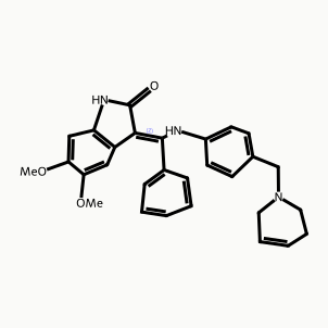 COc1cc2c(cc1OC)/C(=C(/Nc1ccc(CN3CC=CCC3)cc1)c1ccccc1)C(=O)N2